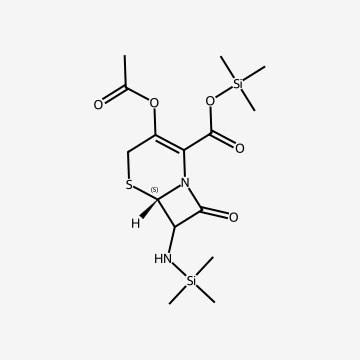 CC(=O)OC1=C(C(=O)O[Si](C)(C)C)N2C(=O)C(N[Si](C)(C)C)[C@@H]2SC1